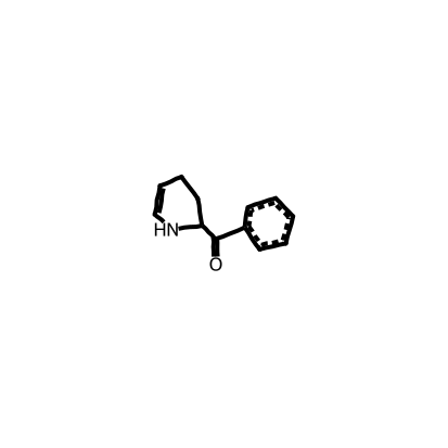 O=C(c1ccccc1)C1CCC=CN1